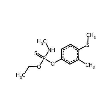 CCOP(=S)(NC)Oc1ccc(SC)c(C)c1